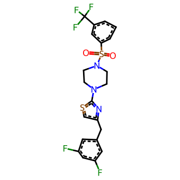 O=S(=O)(c1cccc(C(F)(F)F)c1)N1CCN(c2nc(Cc3cc(F)cc(F)c3)cs2)CC1